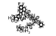 CC[C@@]1(O)C(=O)OCc2c1cc1n(c2=O)Cc2c-1nc1cc(F)c(C)c3c1c2[C@@H](N(CC(N)=O)C(=O)CNC(=O)CNC(=O)[C@H](Cc1ccccc1)NC(=O)CNC(=O)CN)CC3.O=C(O)C(F)(F)F